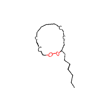 CCCCCCCC1CCCCCCCCCCCCOO1